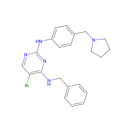 Brc1cnc(Nc2ccc(CN3CCCC3)cc2)nc1NCc1ccccc1